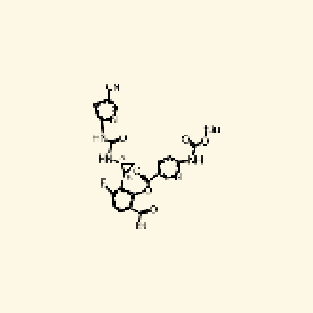 CCC(=O)c1ccc(F)c([C@@H]2C[C@@H]2NC(=O)Nc2ccc(C#N)cn2)c1OC(=O)c1ccc(NC(=O)OC(C)(C)C)nc1